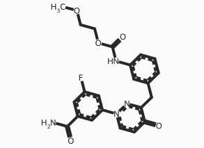 COCCOC(=O)Nc1cccc(Cc2nn(-c3cc(F)cc(C(N)=O)c3)ccc2=O)c1